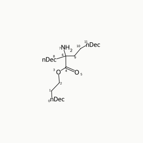 CCCCCCCCCCCCOC(=O)C(N)(CCCCCCCCCC)CCCCCCCCCCCC